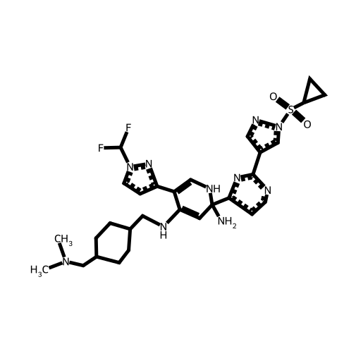 CN(C)CC1CCC(CNC2=CC(N)(c3ccnc(-c4cnn(S(=O)(=O)C5CC5)c4)n3)NC=C2c2ccn(C(F)F)n2)CC1